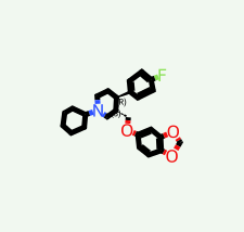 Fc1ccc([C@@H]2CCN(C3CCCCC3)C[C@H]2COc2ccc3c(c2)OCO3)cc1